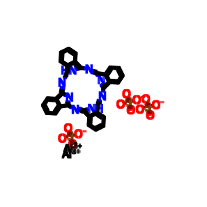 O=S(=O)([O-])[O-].O=S(=O)([O-])[O-].O=S(=O)([O-])[O-].[Al+3].[Al+3].c1ccc2c(c1)-c1nc-2nc2[nH]c(nc3nc(nc4[nH]c(n1)c1ccccc41)-c1ccccc1-3)c1ccccc21